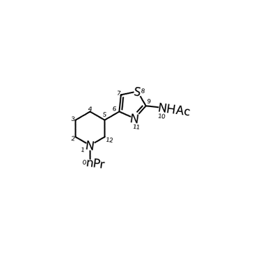 CCCN1CCCC(c2csc(NC(C)=O)n2)C1